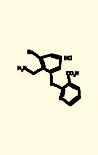 Cl.NCc1c(Br)cccc1Sc1ncccc1C(=O)O